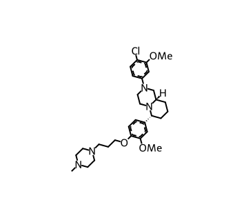 COc1cc(N2CCN3[C@@H](CCC[C@@H]3c3ccc(OCCCN4CCN(C)CC4)c(OC)c3)C2)ccc1Cl